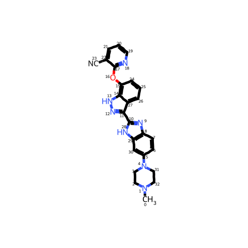 CN1CCN(c2ccc3nc(-c4n[nH]c5c(Oc6ncccc6C#N)cccc45)[nH]c3c2)CC1